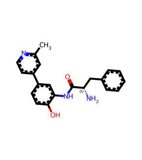 Cc1cc(-c2ccc(O)c(NC(=O)[C@@H](N)Cc3ccccc3)c2)ccn1